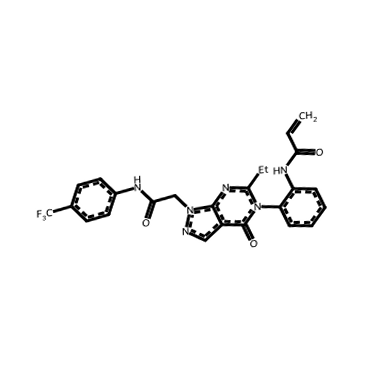 C=CC(=O)Nc1ccccc1-n1c(CC)nc2c(cnn2CC(=O)Nc2ccc(C(F)(F)F)cc2)c1=O